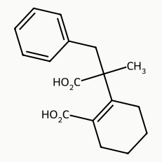 CC(Cc1ccccc1)(C(=O)O)C1=C(C(=O)O)CCCC1